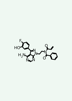 C=CC(=O)N(CCn1nc(-c2ccc(F)c(O)c2)c2c(N)ncnc21)C(=O)c1ccccc1